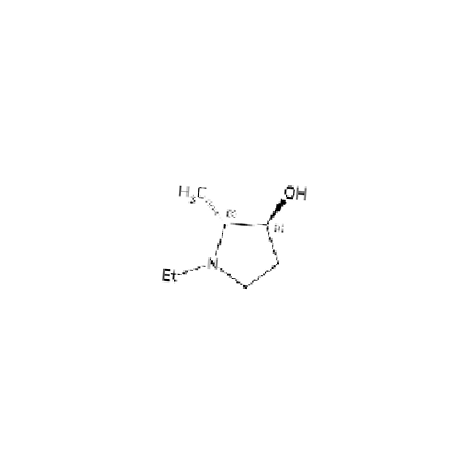 CCN1CC[C@H](O)[C@H]1C